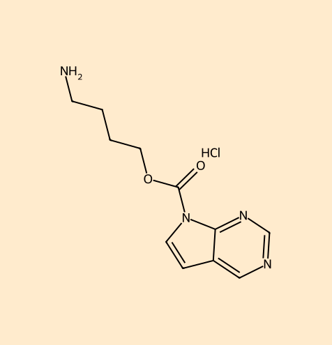 Cl.NCCCCOC(=O)n1ccc2cncnc21